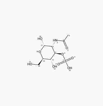 CC(=O)N[C@@H]1[C@@H](OS(=O)(=O)O)[C@H](O)[C@@H](CO)O[C@@H]1O